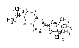 CN(C)C1CCc2cc(B3OC(C)(C)C(C)(C)O3)ccc2C1